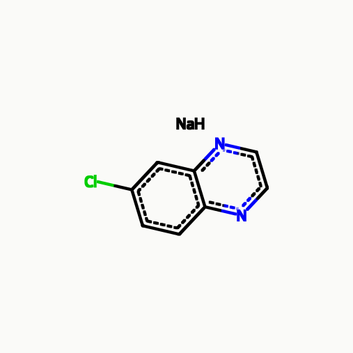 Clc1ccc2nccnc2c1.[NaH]